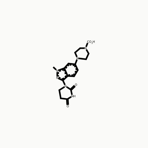 Cn1nc(N2CCC(=O)NC2=O)c2ccc(N3CCN(C(=O)O)CC3)cc21